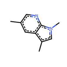 Cc1cnc2c(c1)c(C)cn2C